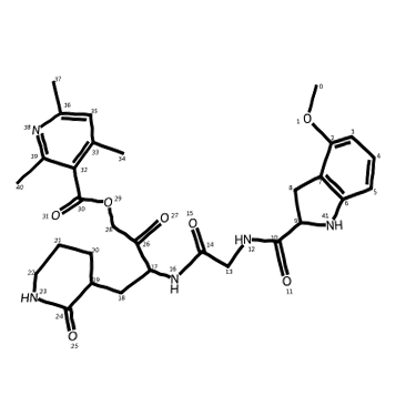 COc1cccc2c1CC(C(=O)NCC(=O)NC(CC1CCCNC1=O)C(=O)COC(=O)c1c(C)cc(C)nc1C)N2